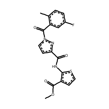 COC(=O)c1ccsc1NC(=O)c1ccn(C(=O)c2cc(F)ccc2C)n1